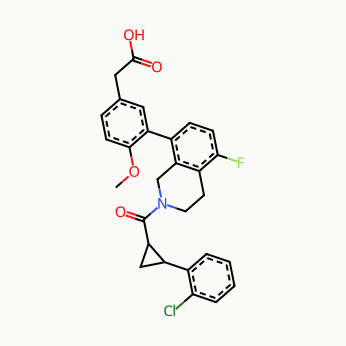 COc1ccc(CC(=O)O)cc1-c1ccc(F)c2c1CN(C(=O)C1CC1c1ccccc1Cl)CC2